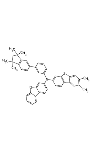 Cc1cc2sc3cc(N(c4cccc(-c5ccc6c(c5)C(C)(C)CC6(C)C)c4)c4ccc5c(c4)oc4ccccc45)ccc3c2cc1C